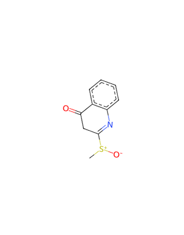 C[S+]([O-])C1=Nc2ccccc2C(=O)C1